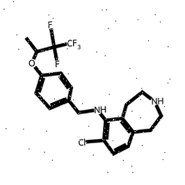 CC(Oc1ccc(CNc2c(Cl)ccc3c2CCNCC3)cc1)C(F)(F)C(F)(F)F